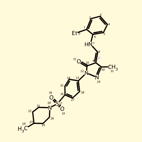 CCc1ccccc1N/C=C1\C(=O)N(c2ccc(S(=O)(=O)N3CCC(C)CC3)cc2)N=C1C